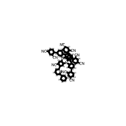 N#Cc1ccc(-c2ccc3c4ccc(-c5ccc(C#N)cc5C#N)cc4n(-c4cc(C#N)c(-c5cccc(-c6ccccc6)n5)cc4-n4c5cc(-c6ccc(C#N)cc6C#N)ccc5c5ccc(-c6ccc(C#N)cc6C#N)cc54)c3c2)c(C#N)c1